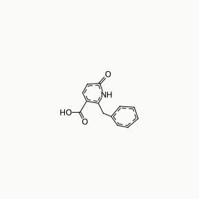 O=C(O)c1ccc(=O)[nH]c1Cc1ccccc1